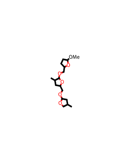 COC1CCC(COC2OC(COC3CC(C)CO3)CC2C)O1